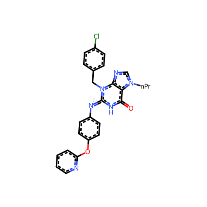 CCCn1cnc2c1c(=O)[nH]/c(=N\c1ccc(Oc3ccccn3)cc1)n2Cc1ccc(Cl)cc1